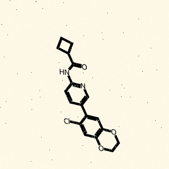 O=C(Nc1ccc(-c2cc3c(cc2Cl)OCCO3)cn1)C1CCC1